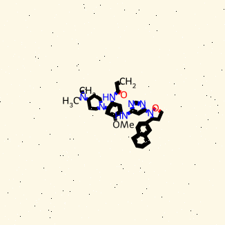 C=CC(=O)Nc1cc(Nc2cc(N3OCCC3c3ccc4ccccc4c3)ncn2)c(OC)cc1N1CCC(N(C)C)CC1